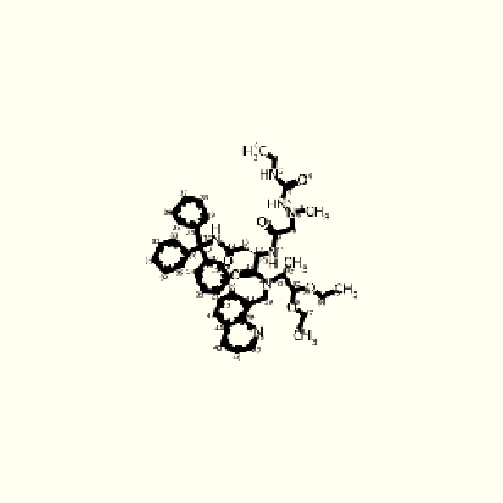 CCNC(=O)NN(C)CC(=O)N[C@@H](CC(=O)NC(c1ccccc1)(c1ccccc1)c1ccccc1)C(=O)N(Cc1cccc2cccnc12)[C@@H](C)C(OCC)OCC